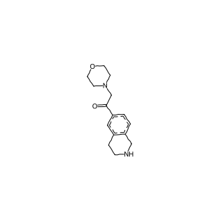 O=C(CN1CCOCC1)c1ccc2c(c1)CCNC2